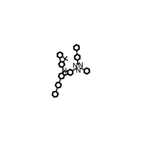 CC1(C)c2ccccc2-c2ccc(-n3c4ccc(-c5ccc(-c6ccccc6)cc5)cc4c4ccc(-c5nc(-c6ccccc6)nc(-c6ccc(-c7ccccc7)cc6)n5)cc43)cc21